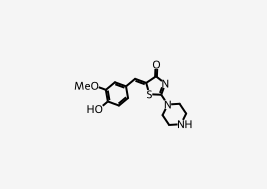 COc1cc(/C=C2\SC(N3CCNCC3)=NC2=O)ccc1O